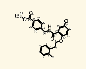 Cc1ccccc1CCOc1ccc(Cl)cc1C(=O)NCc1ccc(C(=O)OC(C)(C)C)cc1